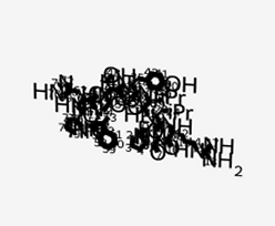 CCN1CCC[C@H]1C(=O)NC(=O)[C@H](CCCNC(=N)N)NC(=O)[C@H](CC(C)C)NC(=O)[C@@H](CC(C)C)NC(=O)[C@H](Cc1ccc(O)cc1)NC(=O)[C@H](CO)NC(=O)[C@H](Cc1c[nH]c2ccccc12)NC(=O)[C@H](Cc1c[nH]cn1)NC(=O)[C@@H]1CCCN1